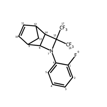 Fc1ccccc1N1C2C3C=CC(C3)C2C1(C(F)(F)F)C(F)(F)F